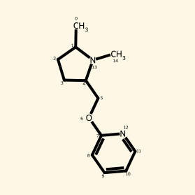 CC1CCC(COc2ccccn2)N1C